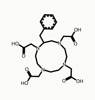 O=C(O)CN1CCN(CC(=O)O)CCN(CC(=O)O)C(Cc2ccccc2)CN(CC(=O)O)CC1